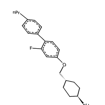 CCCCCC[C@H]1CC[C@H](COc2ccc(-c3ccc(CCC)cc3)c(F)c2)CC1